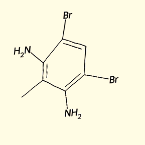 Cc1c(N)c(Br)cc(Br)c1N